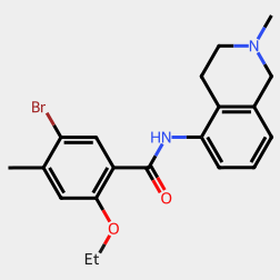 CCOc1cc(C)c(Br)cc1C(=O)Nc1cccc2c1CCN(C)C2